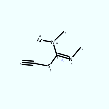 C#CS/C(=N/C)N(C)C(C)=O